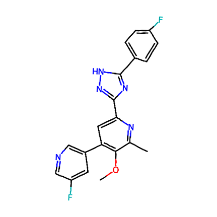 COc1c(-c2cncc(F)c2)cc(-c2n[nH]c(-c3ccc(F)cc3)n2)nc1C